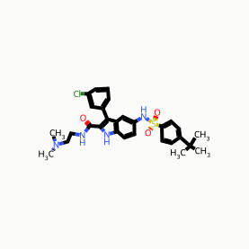 CN(C)CCNC(=O)c1[nH]c2ccc(NS(=O)(=O)c3ccc(C(C)(C)C)cc3)cc2c1-c1cccc(Cl)c1